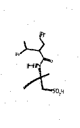 CC(C)CC(C(=O)NC(C)(C)CS(=O)(=O)O)C(C)C(C)C